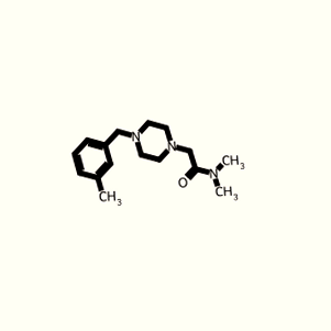 Cc1cccc(CN2CCN(CC(=O)N(C)C)CC2)c1